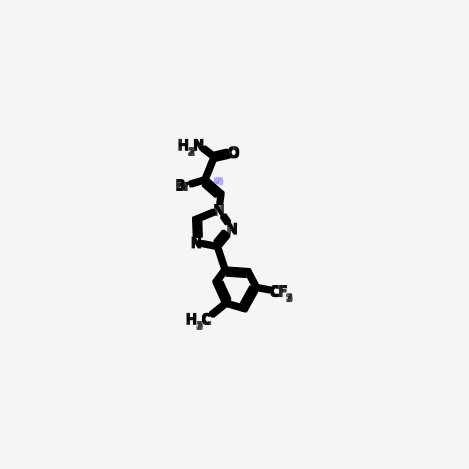 Cc1cc(-c2ncn(/C=C(\Br)C(N)=O)n2)cc(C(F)(F)F)c1